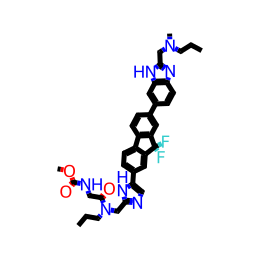 CCCN(C)Cc1nc2ccc(-c3ccc4c(c3)C(F)(F)c3cc(-c5cnc(CN(CCC)C(=O)CNC(=O)OC)[nH]5)ccc3-4)cc2[nH]1